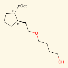 CCCCCCCC[C@H]1CCC[C@@H]1CCOCCCCO